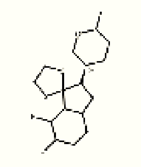 CC1CC[C@@H](C2CC3CCC(F)C(F)C3C23SCCS3)CO1